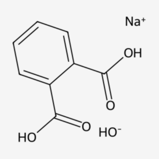 O=C(O)c1ccccc1C(=O)O.[Na+].[OH-]